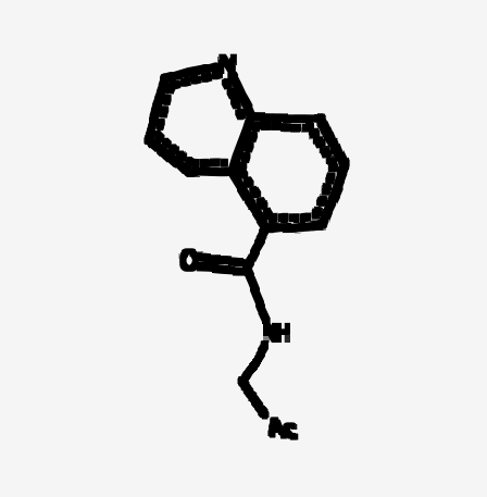 CC(=O)CNC(=O)c1cccc2ncccc12